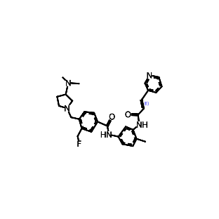 Cc1ccc(NC(=O)c2ccc(CN3CCC(N(C)C)C3)c(CF)c2)cc1NC(=O)/C=C/c1cccnc1